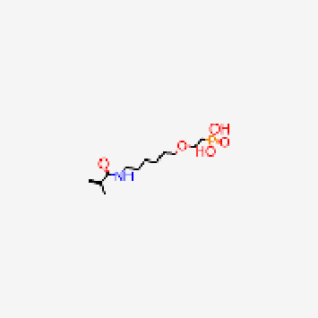 C=C(C)C(=O)NCCCCCCOCCP(=O)(O)O